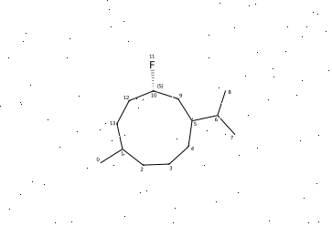 CC1CCCC(C(C)C)C[C@@H](F)CC1